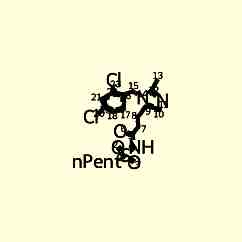 CCCCCS(=O)(=O)NC(=O)CCc1cnc(C)n1Cc1ccc(Cl)cc1Cl